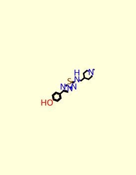 CN1CCC(CNc2nn3cc(-c4ccc(O)cc4)nc3s2)CC1